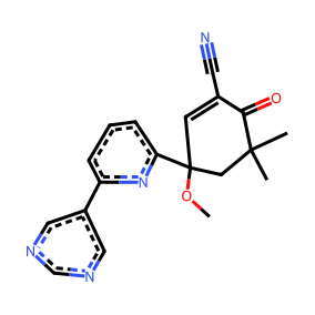 COC1(c2cccc(-c3cncnc3)n2)C=C(C#N)C(=O)C(C)(C)C1